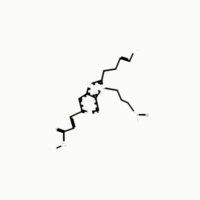 CCC=CCCc1nc2cc(/C=C/C(=O)NO)ccc2n1CCCNC(C)C